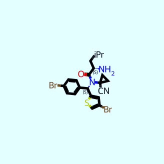 CC(C)C[C@H](N)C(=O)N([C@@H](c1ccc(Br)cc1)c1cc(Br)cs1)C1(C#N)CC1